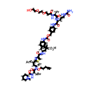 C#CCCCON(C(=O)[C@@H](NC(=O)[C@H]1CCCCN1C)[C@@H](C)CC)[C@H](C[C@@H](OC(C)=O)c1nc(C(=O)N[C@@H](Cc2ccc(NC(=O)OCc3ccc(NC(=O)[C@H](CCCNC(N)=O)NC(=O)[C@@H](NC(=O)CCOCCOCCO)C(C)C)cc3)cc2)CC(C)(C)C(=O)O)cs1)C(C)C